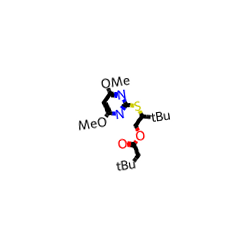 COc1cc(OC)nc(SC(COC(=O)CC(C)(C)C)C(C)(C)C)n1